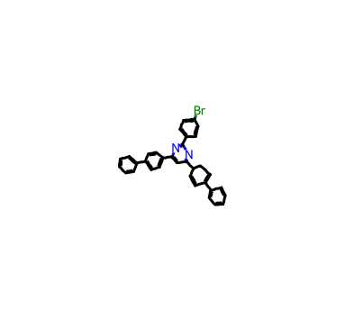 Brc1ccc(-c2nc(-c3ccc(-c4ccccc4)cc3)cc(C3C=CC(c4ccccc4)=CC3)n2)cc1